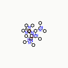 c1ccc(-c2cc(-c3ccc(-n4c5ccccc5c5cc(-c6nc(-c7ccccc7)nc(-c7ccccc7)n6)ccc54)c(-c4nc(-c5ccccc5)cc(-c5cccc(-c6cccc(N7c8ccccc8B8c9ccccc9N(c9ccccc9)c9cccc7c98)c6)c5)n4)c3)nc(-c3ccccc3)n2)cc1